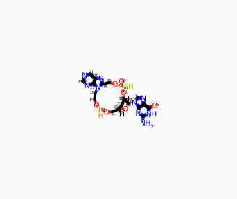 Nc1nc2c(ncn2[C@@H]2O[C@@H]3COPOCCn4c(nc5cncnc54)COP(=O)(S)O[C@@H]2C3)c(=O)[nH]1